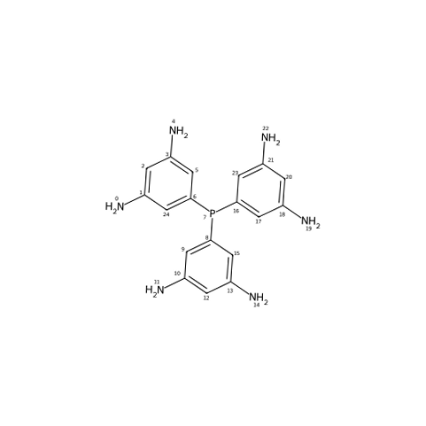 Nc1cc(N)cc(P(c2cc(N)cc(N)c2)c2cc(N)cc(N)c2)c1